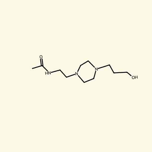 CC(=O)NCCN1CCN(CCCO)CC1